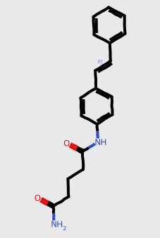 NC(=O)CCCC(=O)Nc1ccc(/C=C/c2ccccc2)cc1